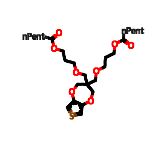 CCCCCC(=O)OCCCOCC1(COCCCOC(=O)CCCCC)COc2cscc2OC1